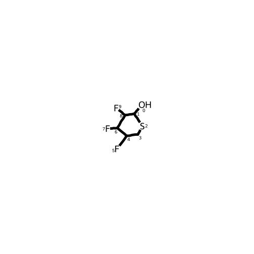 OC1SCC(F)C(F)C1F